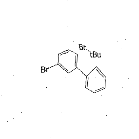 Brc1cccc(-c2ccccc2)c1.CC(C)(C)Br